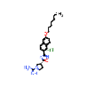 CCCCCCCOc1ccc2cc(-c3noc([C@@H]4CCN(C(=N)N)C4)n3)ccc2c1.Cl